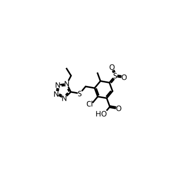 CCn1nnnc1SCC1=C(Cl)C(C(=O)O)=CC(=S(=O)=O)C1C